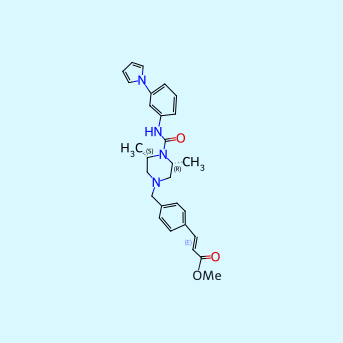 COC(=O)/C=C/c1ccc(CN2C[C@@H](C)N(C(=O)Nc3cccc(-n4cccc4)c3)[C@@H](C)C2)cc1